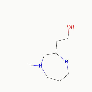 CN1CCC[N]C(CCO)C1